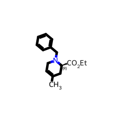 CCOC(=O)[C@H]1CC(C)=CCN1Cc1ccccc1